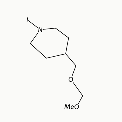 COCOCC1CCN(I)CC1